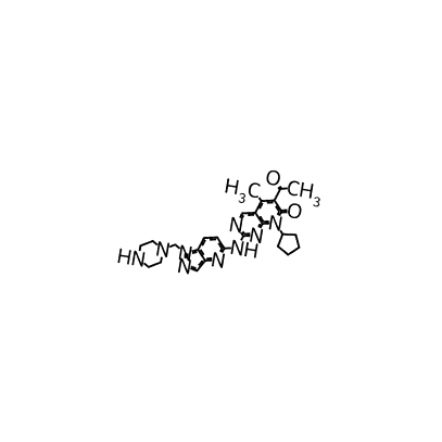 CC(=O)c1c(C)c2cnc(Nc3ccc4c(cnn4CN4CCNCC4)n3)nc2n(C2CCCC2)c1=O